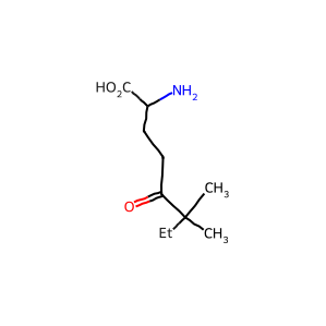 CCC(C)(C)C(=O)CCC(N)C(=O)O